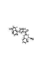 N#CCCN(Cc1cccnc1)C(=O)c1cc(-c2ncnc3[nH]ccc23)c[nH]1